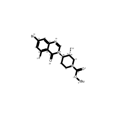 CC(C)(C)OC(=O)N1CC[C@@H](n2cnc3cc(Br)cc(F)c3c2=O)[C@H](F)C1